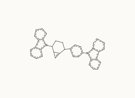 C1=C2C(c3ccc(-n4c5ccccc5c5ccccc54)cc3)CCC(n3c4ccccc4c4ccccc43)C12